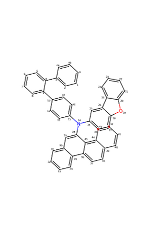 c1ccc(-c2ccccc2-c2ccc(N(c3ccc4oc5ccccc5c4c3)c3cc4ccccc4c4ccc5ccccc5c34)cc2)cc1